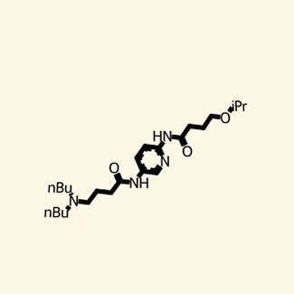 CCCCN(CCCC)CCCC(=O)Nc1ccc(NC(=O)CCCOC(C)C)nc1